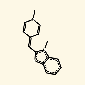 CN1C=CC(=Cc2oc3ccccc3[n+]2C)C=C1